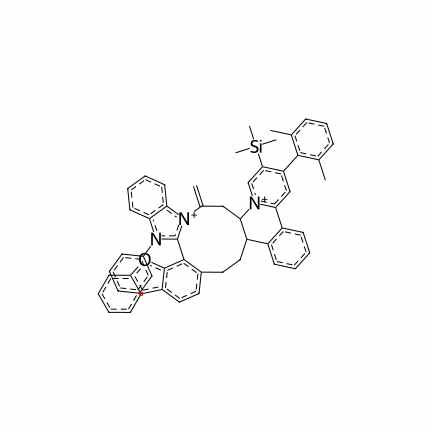 C=C1CC2C(CCc3ccc4c(oc5ccccc54)c3-c3n(-c4ccccc4)c4ccccc4[n+]31)c1ccccc1-c1cc(-c3c(C)cccc3C)c([Si](C)(C)C)c[n+]12